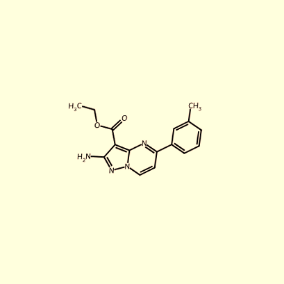 CCOC(=O)c1c(N)nn2ccc(-c3cccc(C)c3)nc12